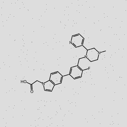 CN1CCN(Cc2cc(-c3ccc4c(ccn4CC(=O)O)c3)ccc2F)C(c2cccnc2)C1